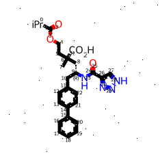 CC(C)C(=O)OCCC(C)(C[C@@H](Cc1ccc(-c2ccccc2)cc1)NC(=O)c1c[nH]nn1)C(=O)O